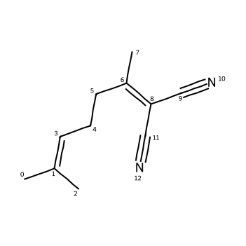 CC(C)=CCCC(C)=C(C#N)C#N